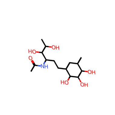 CC(=O)NC(CCC1CC(C)C(O)C(O)C1O)C(O)C(C)O